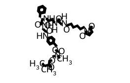 CC(C)C(=O)COCN(C)C(=O)OCc1ccc(NC(=O)CNC(=O)[C@H](Cc2ccccc2)NC(=O)CNC(=O)CNC(=O)CCCCCN2C(=O)C=CC2=O)cc1